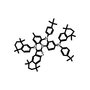 Cc1cc2c3c(c1)N(c1ccc4c(c1)C(C)(C)CCC4(C)C)c1c(sc4cc5c(cc14)C(C)(C)CCC5(C)C)B3c1ccc(N(c3ccc(C(C)(C)C)cc3)c3ccc4c(c3)C(C)(C)CCC4(C)C)cc1N2c1ccc(C(C)(C)C)cc1